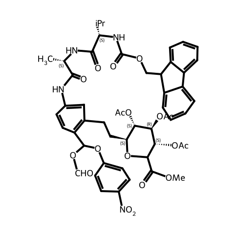 COC(=O)C1O[C@@H](CCc2cc(NC(=O)[C@H](C)NC(=O)[C@@H](NC(=O)OCC3c4ccccc4-c4ccccc43)C(C)C)ccc2C(OC=O)Oc2ccc([N+](=O)[O-])cc2)[C@H](OC(C)=O)[C@@H](OC(C)=O)[C@@H]1OC(C)=O